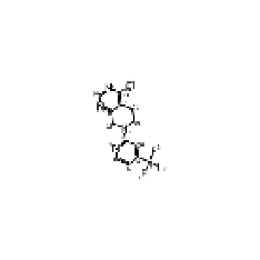 FC(F)(F)c1ccnc(N2CCc3c(Cl)ncnc3C2)c1